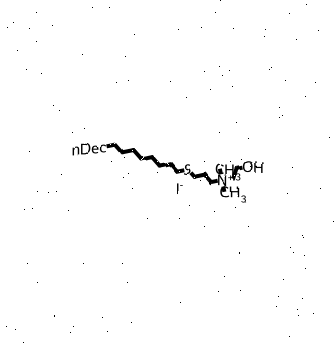 CCCCCCCCCCCCCCCCCCSCCC[N+](C)(C)CCO.[I-]